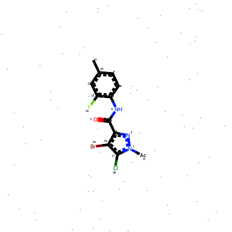 CC(=O)n1nc(C(=O)Nc2ccc(C)cc2F)c(Br)c1Cl